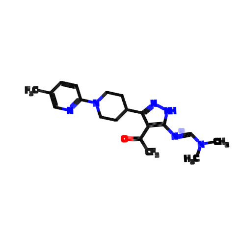 CN(C)/C=N/c1[nH]nc(C2CCN(c3ccc(C(F)(F)F)cn3)CC2)c1C(=O)C(F)(F)F